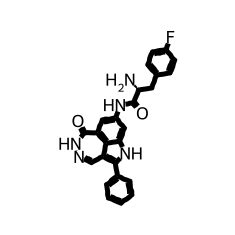 N[C@H](Cc1ccc(F)cc1)C(=O)Nc1cc2c3c(c(-c4ccccc4)[nH]c3c1)C=NNC2=O